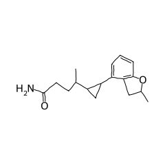 CC1Cc2c(cccc2C2CC2C(C)CCC(N)=O)O1